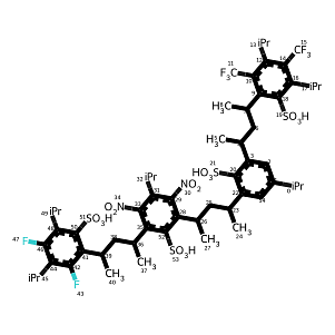 CC(C)c1cc(C(C)CC(C)c2c(C(F)(F)F)c(C(C)C)c(C(F)(F)F)c(C(C)C)c2S(=O)(=O)O)c(S(=O)(=O)O)c(C(C)CC(C)c2c([N+](=O)[O-])c(C(C)C)c([N+](=O)[O-])c(C(C)CC(C)c3c(F)c(C(C)C)c(F)c(C(C)C)c3S(=O)(=O)O)c2S(=O)(=O)O)c1